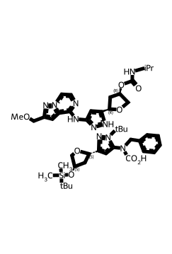 CC(C)(C)n1nc([C@@H]2C[C@H](O[Si](C)(C)C(C)(C)C)CO2)cc1N(Cc1ccccc1)C(=O)O.COCc1cc2c(Nc3cc([C@H]4C[C@@H](OC(=O)NC(C)C)CO4)[nH]n3)nccn2n1